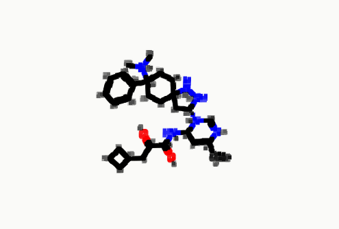 COC1=CC(NC(=O)C(=O)CC2CCC2)N([C@@H]2CC3(CCC(c4ccccc4)(N(C)C)CC3)NN2)C=N1